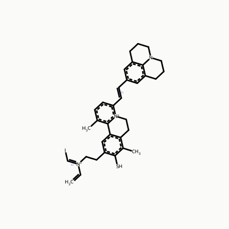 C=C/[N+](=C/I)CCc1cc2c(c(C)c1S)CC[n+]1c(/C=C/c3cc4c5c(c3)CCCN5CCC4)ccc(C)c1-2